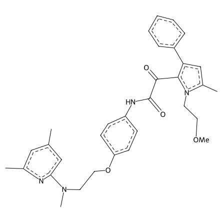 COCCn1c(C)cc(-c2ccccc2)c1C(=O)C(=O)Nc1ccc(OCCN(C)c2cc(C)cc(C)n2)cc1